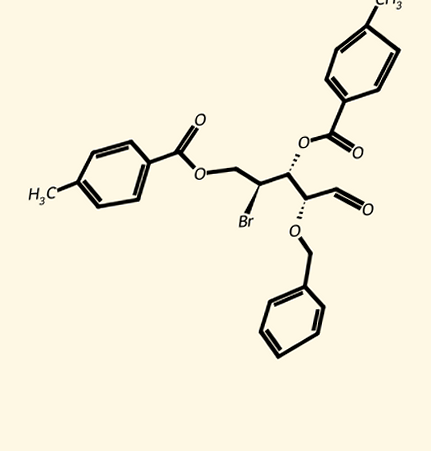 Cc1ccc(C(=O)OC[C@H](Br)[C@H](OC(=O)c2ccc(C)cc2)[C@H](C=O)OCc2ccccc2)cc1